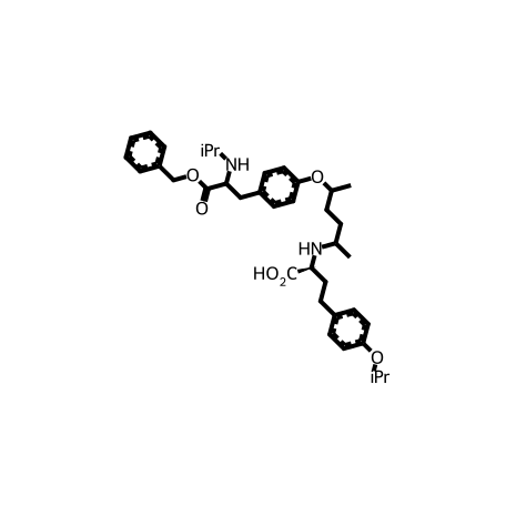 CC(C)NC(Cc1ccc(OC(C)CCC(C)N[C@@H](CCc2ccc(OC(C)C)cc2)C(=O)O)cc1)C(=O)OCc1ccccc1